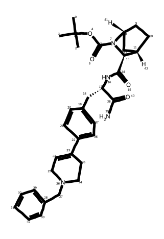 CC(C)(C)OC(=O)N1[C@@H]2CC[C@@H](C2)[C@H]1C(=O)N[C@@H](Cc1ccc(C2=CCN(Cc3ccccc3)CC2)cc1)C(N)=O